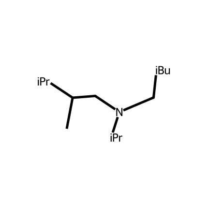 CCC(C)CN(CC(C)C(C)C)C(C)C